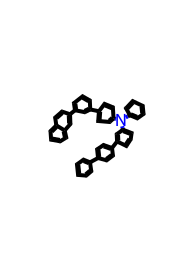 c1ccc(-c2ccc(-c3cccc(N(c4ccccc4)c4ccc(-c5cccc(-c6ccc7ccccc7c6)c5)cc4)c3)cc2)cc1